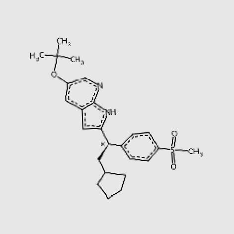 CC(C)(C)Oc1cnc2[nH]c([C@H](CC3CCCC3)c3ccc(S(C)(=O)=O)cc3)cc2c1